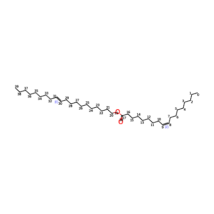 CCCCCCCC/C=C\CCCCCCCC(=O)OCCCCCCCCCC/C=C/CCCCCCCC